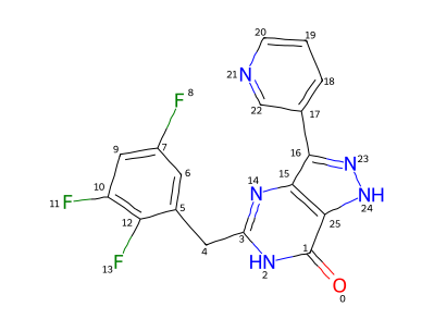 O=c1[nH]c(Cc2cc(F)cc(F)c2F)nc2c(-c3cccnc3)n[nH]c12